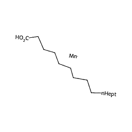 CCCCCCCCCCCCCCCC(=O)O.[Mn]